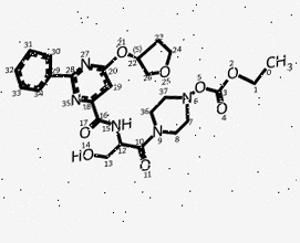 CCOC(=O)ON1CCN(C(=O)C(CO)NC(=O)c2cc(O[C@H]3CCOC3)nc(-c3ccccc3)n2)CC1